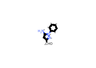 Nc1cc(C=O)nn1-c1ccccc1